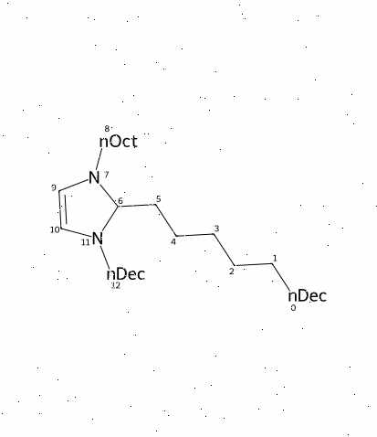 CCCCCCCCCCCCCCCC1N(CCCCCCCC)C=CN1CCCCCCCCCC